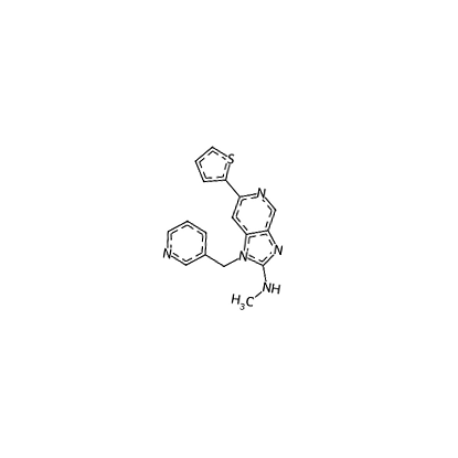 CNc1nc2cnc(-c3cccs3)cc2n1Cc1cccnc1